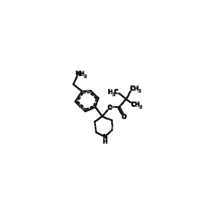 CC(C)(C)C(=O)OC1(c2ccc(CN)cc2)CCNCC1